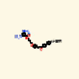 CCCCCc1ccc(-c2ccc(C(=O)C=Cc3ccc(OCCCCCOC(=O)c4cc(N)cc(N)c4)cc3)cc2)cc1